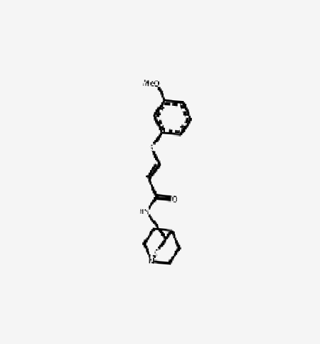 COc1cccc(S/C=C/C(=O)NC2CN3CCC2CC3)c1